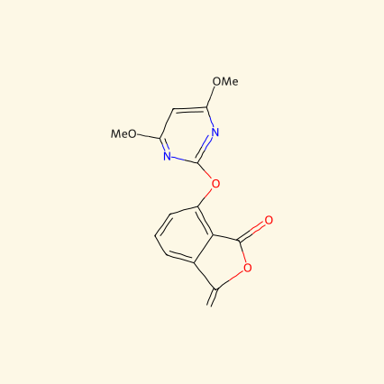 C=C1OC(=O)c2c(Oc3nc(OC)cc(OC)n3)cccc21